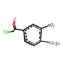 CCOC(=O)c1ccc(C(=O)Cl)cc1[N+](=O)[O-]